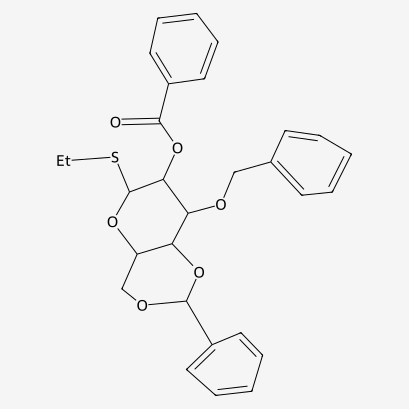 CCSC1OC2COC(c3ccccc3)OC2C(OCc2ccccc2)C1OC(=O)c1ccccc1